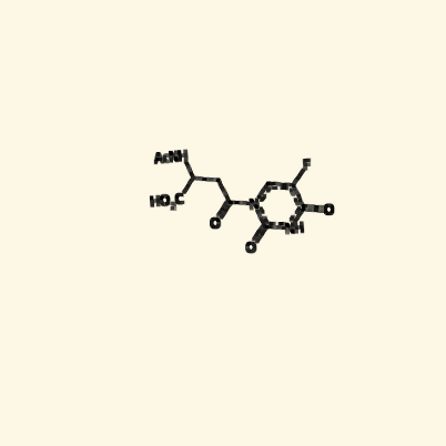 CC(=O)NC(CC(=O)n1cc(F)c(=O)[nH]c1=O)C(=O)O